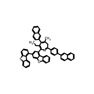 CCC1=C(c2cc(-c3cccc4sc5ccccc5c34)cc3oc4ccccc4c23)N=C(c2ccc(-c3ccc4ccccc4c3)cc2)CC(C)=C1c1ccc2ccccc2c1